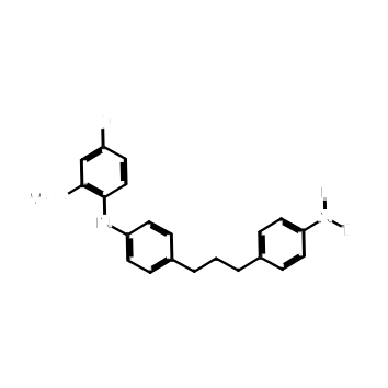 CCN(CC)c1ccc(CCCc2ccc(Nc3ccc(C(=O)O)cc3OC)cc2)cc1